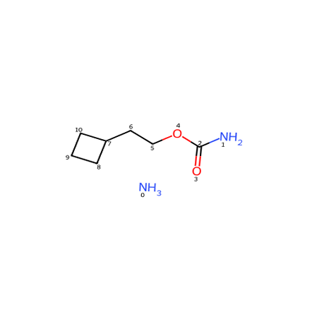 N.NC(=O)OCCC1CCC1